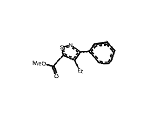 CCc1c(-c2ccccc2)nsc1C(=O)OC